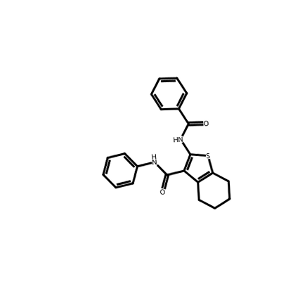 O=C(Nc1sc2c(c1C(=O)Nc1ccccc1)CCCC2)c1ccccc1